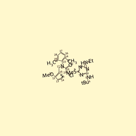 CCNc1nc(NC(C)(C)C)nc(SC)n1.COc1ccsc1CN(C(=O)CCl)c1c(C)cccc1C